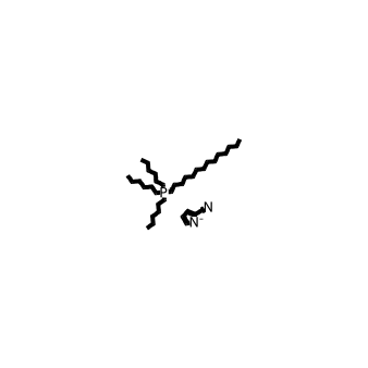 CCCCCCCCCCCCCC[P+](CCCCCC)(CCCCCC)CCCCCC.N#Cc1ccc[n-]1